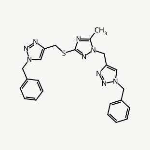 Cc1nc(SCc2cn(Cc3ccccc3)nn2)nn1Cc1cn(Cc2ccccc2)nn1